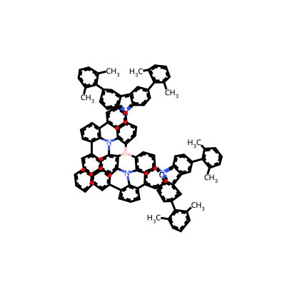 Cc1cccc(C)c1-c1ccc2c(c1)c1cc(-c3c(C)cccc3C)ccc1n2-c1ccc2c(c1)N(c1c(-c3ccccc3)cccc1-c1ccccc1)c1cc(-c3ccccc3)cc3c1B2c1ccc(-n2c4ccc(-c5c(C)cccc5C)cc4c4cc(-c5c(C)cccc5C)ccc42)cc1N3c1c(-c2ccccc2)cccc1-c1ccccc1